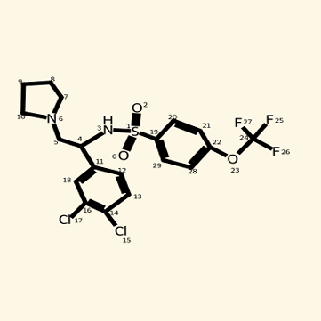 O=S(=O)(NC(CN1CCCC1)c1ccc(Cl)c(Cl)c1)c1ccc(OC(F)(F)F)cc1